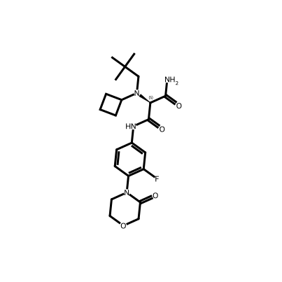 CC(C)(C)CN(C1CCC1)[C@@H](C(N)=O)C(=O)Nc1ccc(N2CCOCC2=O)c(F)c1